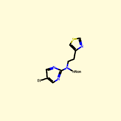 CCCCCCCCCN(CCc1cs[c]n1)c1ncc(CC)cn1